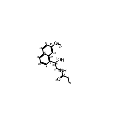 CCC(=O)NC[C@H](O)c1cccc2ccc(OC)cc12